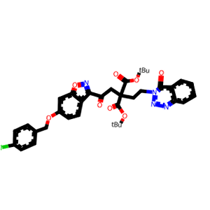 CC(C)(C)OC(=O)C(CCn1nnc2ccccc2c1=O)(CC(=O)c1noc2cc(OCc3ccc(Cl)cc3)ccc12)C(=O)OC(C)(C)C